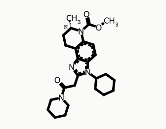 COC(=O)N1c2ccc3c(nc(CC(=O)N4CCCCC4)n3C3CCCCC3)c2CC[C@@H]1C